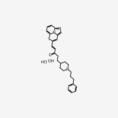 Cl.Cl.O=C(/C=C/C1=Cc2cnc3cccc(n23)S1)CCC1CCN(CCCc2ccccc2)CC1